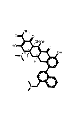 CN(C)Cc1ccc(-c2ccc(O)c3c2C[C@H]2C[C@H]4[C@H](N(C)C)C(O)=C(C(N)=O)C(=O)[C@@]4(O)C(O)=C2C3=O)c2ccccc12